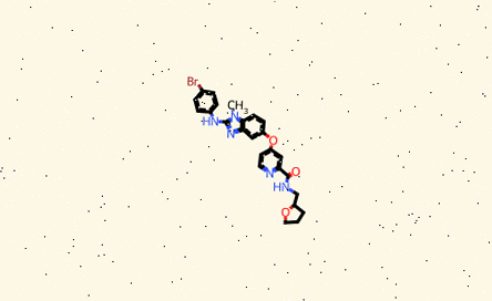 Cn1c(Nc2ccc(Br)cc2)nc2cc(Oc3ccnc(C(=O)NCC4CCCO4)c3)ccc21